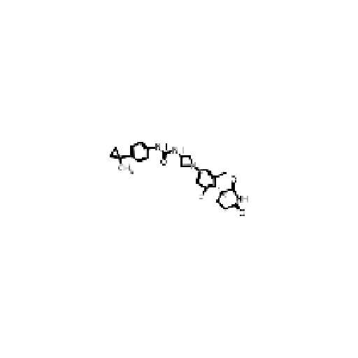 CC1(c2ccc(NC(=O)NC3CN(c4cc(F)c([C@H]5CCC(=O)NC5=O)c(F)c4)C3)cc2)CC1